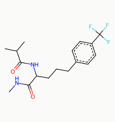 CNC(=O)C(CCCc1ccc(C(F)(F)F)cc1)NC(=O)C(C)C